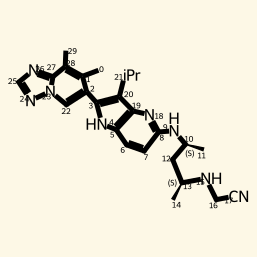 Cc1c(-c2[nH]c3ccc(N[C@@H](C)C[C@H](C)NCC#N)nc3c2C(C)C)cn2ncnc2c1C